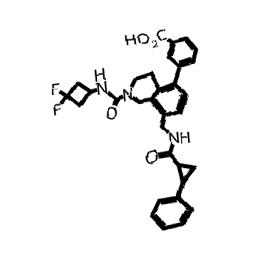 O=C(O)c1cccc(-c2ccc(CNC(=O)C3CC3c3ccccc3)c3c2CCN(C(=O)NC2CC(F)(F)C2)C3)c1